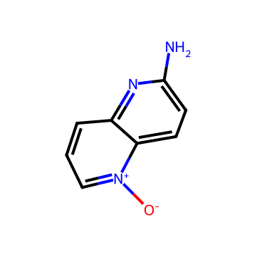 Nc1ccc2c(ccc[n+]2[O-])n1